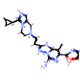 Cc1c(-c2ncco2)nc(N)n2nc(CCN3CCn4c(cnc4C4CC4)C3)nc12